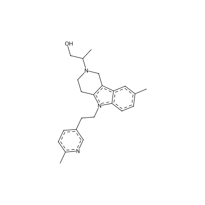 Cc1ccc2c(c1)c1c(n2CCc2ccc(C)nc2)CCN(C(C)CO)C1